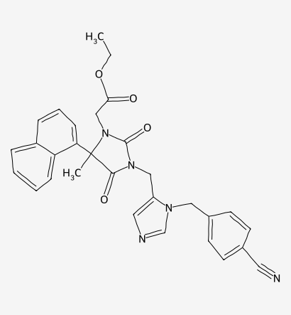 CCOC(=O)CN1C(=O)N(Cc2cncn2Cc2ccc(C#N)cc2)C(=O)C1(C)c1cccc2ccccc12